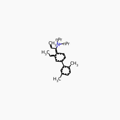 C=C/C(=c1/ccc(-c2cc(C)ccc2C)c/c1=C/C)N(CCC)CCC